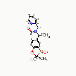 CC(c1ccc2c(c1)[S+]([O-])C(C)(C)O2)N(C=O)Cc1ccccn1